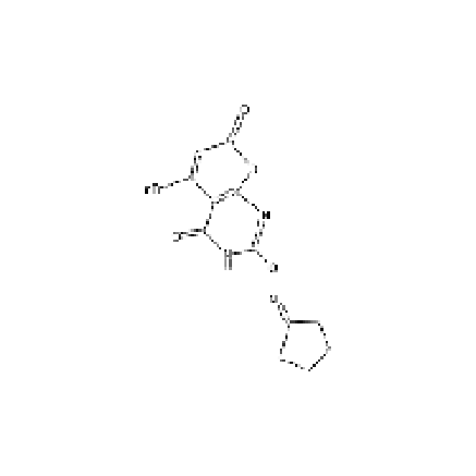 CCCc1cc(=O)oc2nc(ON=C3CCCC3)[nH]c(=O)c12